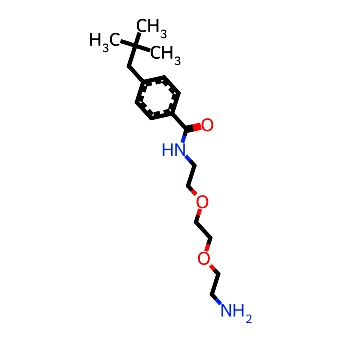 CC(C)(C)Cc1ccc(C(=O)NCCOCCOCCN)cc1